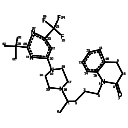 CC(CCCN1C(=O)CCc2ccccc21)N1CCN(c2cc(C(F)(F)F)nc(C(C)(C)C)n2)CC1